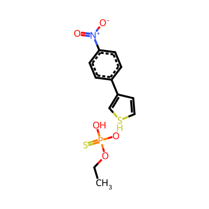 CCOP(O)(=S)O[SH]1C=CC(c2ccc([N+](=O)[O-])cc2)=C1